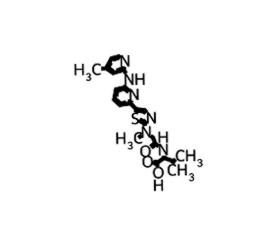 Cc1ccnc(Nc2cccc(-c3cnc(N(C)CC(=O)NC(C(=O)O)C(C)C)s3)n2)c1